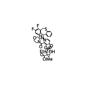 CCN(C1(C(=O)OC)CC1)P(=O)(O)Oc1c2n(ccc1=O)N([C@@H]1c3ccccc3SCc3c1ccc(F)c3F)[C@@H]1COCCN1C2=O